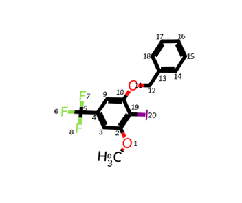 COc1cc(C(F)(F)F)cc(OCc2ccccc2)c1I